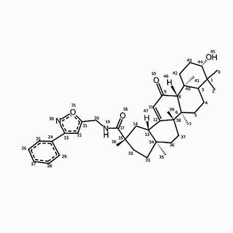 CC1(C)C2CC[C@]3(C)[C@H](C(=O)C=C4[C@H]5C[C@@](C)(C(=O)NCc6cc(-c7ccccc7)no6)CC[C@]5(C)CC[C@]43C)[C@@]2(C)CC[C@@H]1O